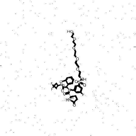 O=C1CC[C@@H](C(=O)N(c2cc(F)cc(S(=O)(=O)NCCOCCOCCOCCOCCO)c2)C(C(=O)NC2CC(F)(F)C2)c2ccccc2Cl)N1